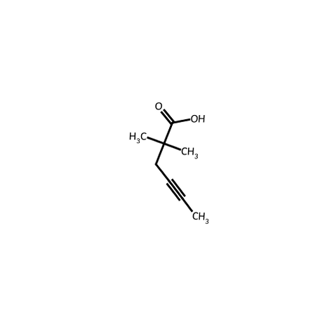 CC#CCC(C)(C)C(=O)O